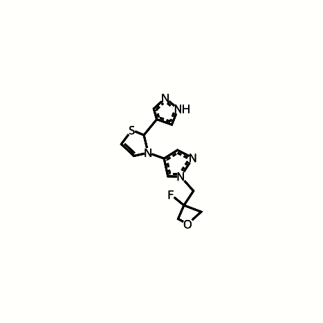 FC1(Cn2cc(N3C=CSC3c3cn[nH]c3)cn2)COC1